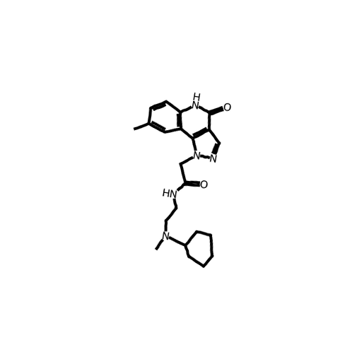 Cc1ccc2[nH]c(=O)c3cnn(CC(=O)NCCN(C)C4CCCCC4)c3c2c1